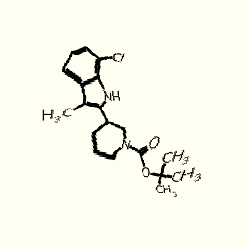 Cc1c(C2CCCN(C(=O)OC(C)(C)C)C2)[nH]c2c(Cl)cccc12